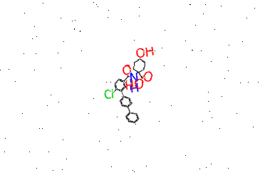 O=C(NC1(C(=O)O)CCC(O)CC1)c1ccc(Cl)c(-c2ccc(-c3ccccc3)cc2)c1